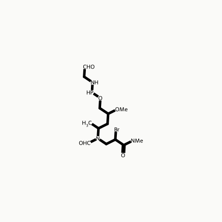 CNC(=O)C(Br)CN(C=O)C(C)CC(COPNCC=O)OC